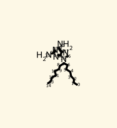 CCCCCCCC(CCCCCCC)n1cnc2c(N)nc(N)nc21